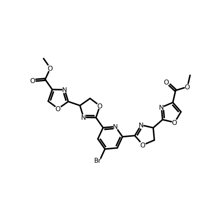 COC(=O)c1coc(C2COC(c3cc(Br)cc(C4=NC(c5nc(C(=O)OC)co5)CO4)n3)=N2)n1